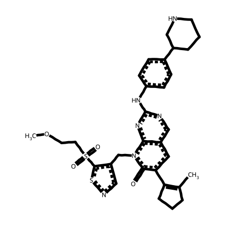 COCCS(=O)(=O)c1sncc1Cn1c(=O)c(C2=C(C)CCC2)cc2cnc(Nc3ccc(C4CCCNC4)cc3)nc21